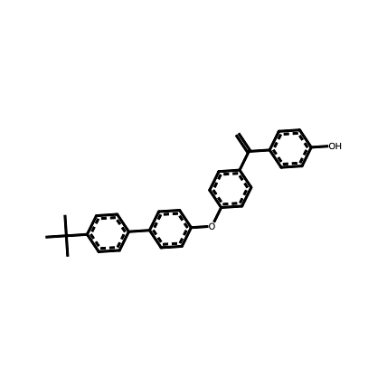 C=C(c1ccc(O)cc1)c1ccc(Oc2ccc(-c3ccc(C(C)(C)C)cc3)cc2)cc1